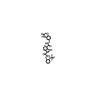 O=C1COc2ccc(CNC(=O)c3ncnc4c(C(=O)NCc5ccccc5OC(F)(F)F)c[nH]c34)cc2N1